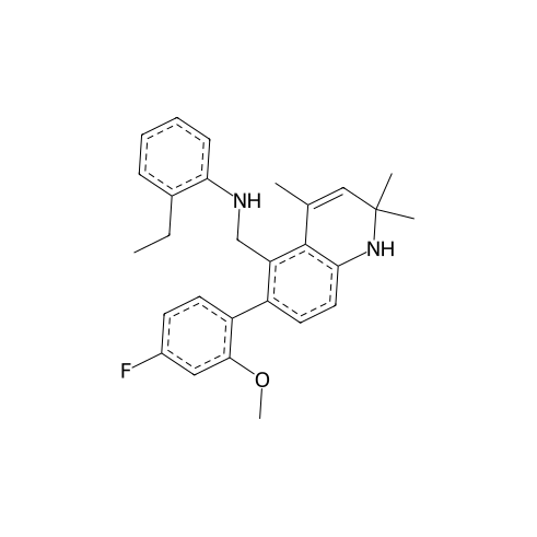 CCc1ccccc1NCc1c(-c2ccc(F)cc2OC)ccc2c1C(C)=CC(C)(C)N2